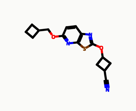 N#CC1CC(Oc2nc3ccc(OCC4CCC4)nc3s2)C1